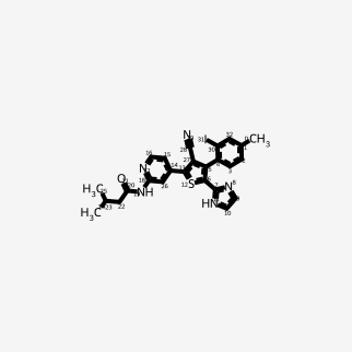 Cc1ccc(-c2c(-c3ncc[nH]3)sc(-c3ccnc(NC(=O)CC(C)C)c3)c2C#N)c(I)c1